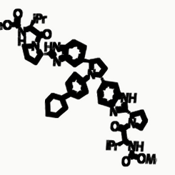 COC(=O)N[C@H](C(=O)N1CCC[C@H]1c1nc2cc([C@H]3CC[C@H](c4ccc5nc([C@@H]6CCCN6C(=O)[C@@H](NC(=O)OC)C(C)C)[nH]c5c4)N3c3ccc(C4CCCCC4)cc3)ccc2[nH]1)C(C)C